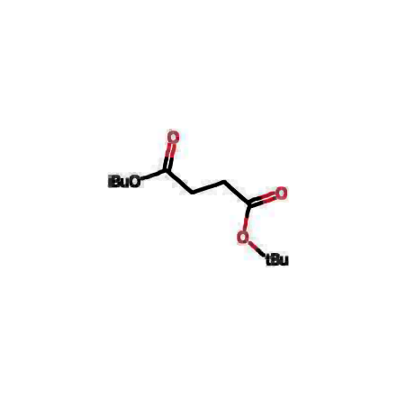 CC(C)COC(=O)CCC(=O)OC(C)(C)C